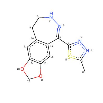 Cc1nnc(C2=NNCCc3cc4c(cc32)OCO4)s1